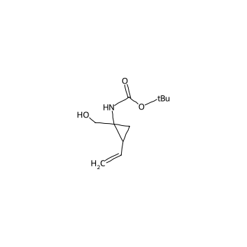 C=CC1CC1(CO)NC(=O)OC(C)(C)C